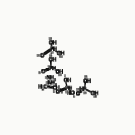 C=C.N.N.O=[PH](O)O.O=[PH](O)O.O=[PH](O)O.O=[PH](O)O